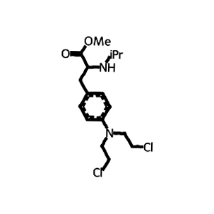 COC(=O)C(Cc1ccc(N(CCCl)CCCl)cc1)NC(C)C